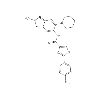 Cc1ccc(-c2nc(C(=O)Nc3cc4cn(C)nc4cc3N3CCCCC3)co2)cn1